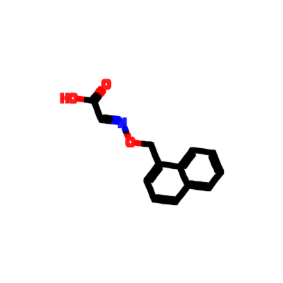 O=C(O)C=NOCc1cccc2ccccc12